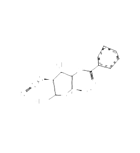 CC(=O)O[C@H]1OC(C)[C@@H](N=[N+]=[N-])[C@H](C)C1OC(=O)c1ccccc1